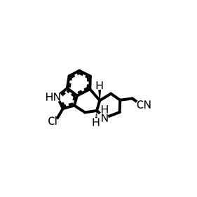 N#CCC1CN[C@H]2Cc3c(Cl)[nH]c4cccc(c34)[C@@H]2C1